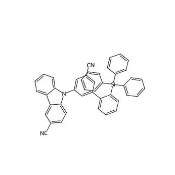 N#Cc1cc(-c2ccccc2[Si](c2ccccc2)(c2ccccc2)c2ccccc2)cc(-n2c3ccccc3c3cc(C#N)ccc32)c1